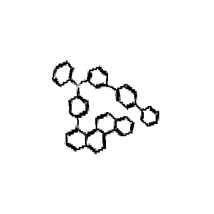 c1ccc(-c2ccc(-c3cccc(N(c4ccccc4)c4ccc(-c5cccc6ccc7c8ccccc8ccc7c56)cc4)c3)cc2)cc1